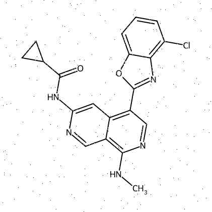 CNc1ncc(-c2nc3c(Cl)cccc3o2)c2cc(NC(=O)C3CC3)ncc12